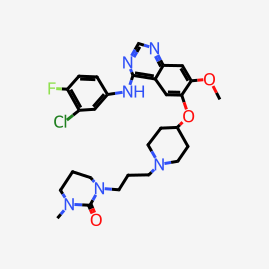 COc1cc2ncnc(Nc3ccc(F)c(Cl)c3)c2cc1OC1CCN(CCCN2CCCN(C)C2=O)CC1